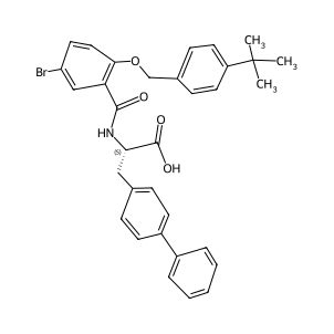 CC(C)(C)c1ccc(COc2ccc(Br)cc2C(=O)N[C@@H](Cc2ccc(-c3ccccc3)cc2)C(=O)O)cc1